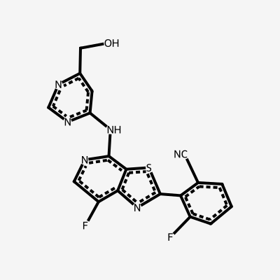 N#Cc1cccc(F)c1-c1nc2c(F)cnc(Nc3cc(CO)ncn3)c2s1